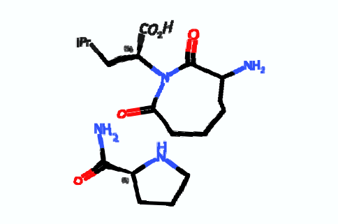 CC(C)C[C@@H](C(=O)O)N1C(=O)CCCC(N)C1=O.NC(=O)[C@@H]1CCCN1